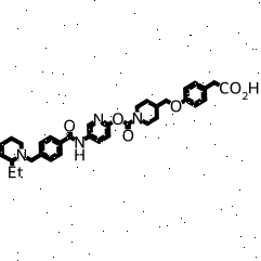 CCC1CCCCN1Cc1ccc(C(=O)Nc2ccc(OC(=O)N3CCC(COc4ccc(CC(=O)O)cc4)CC3)nc2)cc1